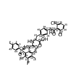 Cc1ccc(S(=O)(=O)c2c(F)c(F)c(C)c(F)c2NC(=O)NC(Cc2ccc(NC(=O)c3c(Cl)cccc3Cl)cc2)C(=O)O)cc1